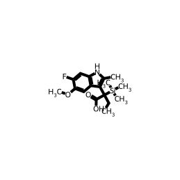 CCC(C(=O)O)(c1c(C)[nH]c2cc(F)c(OC)cc12)[Si](C)(C)C